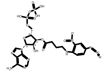 [N-]=[N+]=Nc1ccc(NCCCC(=O)O[C@H]2[C@@H](O)[C@H](n3cnc4c(N)ncnc43)O[C@@H]2COP(=O)(O)OP(=O)(O)O)c([N+](=O)[O-])c1